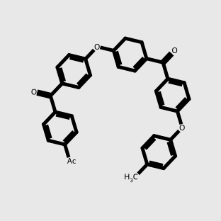 CC(=O)c1ccc(C(=O)c2ccc(OC3=CC=C(C(=O)c4ccc(Oc5ccc(C)cc5)cc4)CC3)cc2)cc1